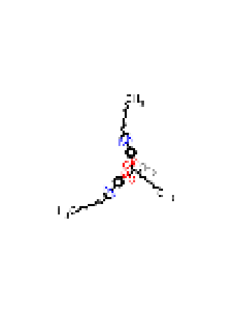 CCCCCCCCc1cnc(-c2ccc(OC(=O)C(C(=O)Oc3ccc(-c4ncc(CCCCCCCC)cn4)cc3)[C@@H](C)CCCCCCC)cc2)nc1